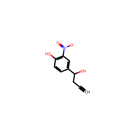 C#CCC(O)c1ccc(O)c([N+](=O)[O-])c1